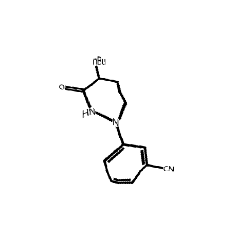 CCCCC1CCN(c2cccc(C#N)c2)NC1=O